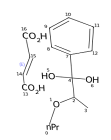 CCCOC(C)C(O)(O)c1ccccc1.O=C(O)/C=C/C(=O)O